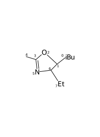 CCC(C)C1OC(C)=NC1CC